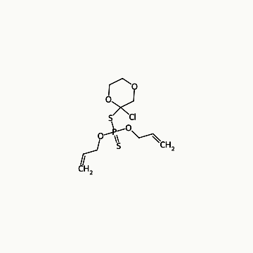 C=CCOP(=S)(OCC=C)SC1(Cl)COCCO1